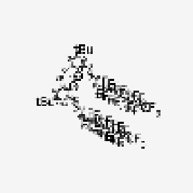 Cc1cc(C(C)(C)C)cc(CSCCC(F)(F)C(F)(F)C(F)(F)C(F)(F)C(F)(F)C(F)(F)C(F)(F)C(F)(F)F)c1OCOc1c(C)cc(C(C)(C)C)cc1CSCCC(F)(F)C(F)(F)C(F)(F)C(F)(F)C(F)(F)C(F)(F)C(F)(F)C(F)(F)F